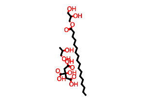 CC(O)CO.CCCCCCCCCCCCCCCCCC(=O)OCC(O)CO.O=C(O)CC(O)(CC(=O)O)C(=O)O